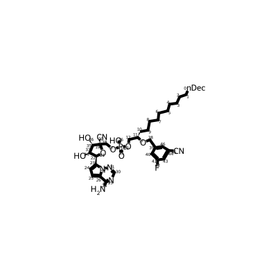 CCCCCCCCCCCCCCCCCCCC[C@@H](COP(=O)(O)OC[C@@]1(C#N)O[C@@H](c2ccc3c(N)ncnn23)[C@H](O)[C@@H]1O)OCc1cc(F)cc(C#N)c1